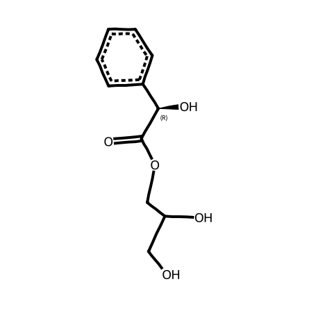 O=C(OCC(O)CO)[C@H](O)c1ccccc1